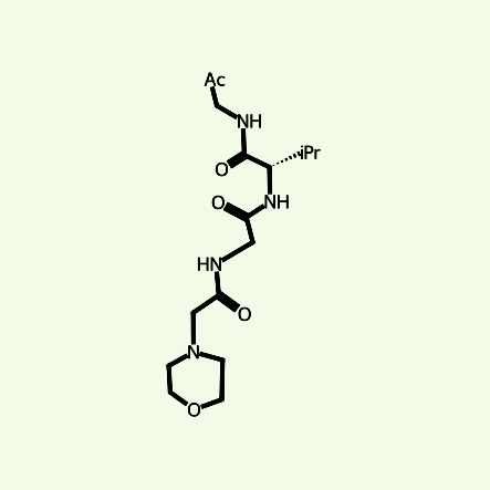 CC(=O)CNC(=O)[C@@H](NC(=O)CNC(=O)CN1CCOCC1)C(C)C